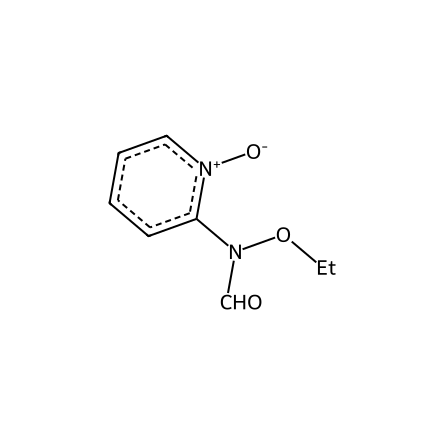 CCON(C=O)c1cccc[n+]1[O-]